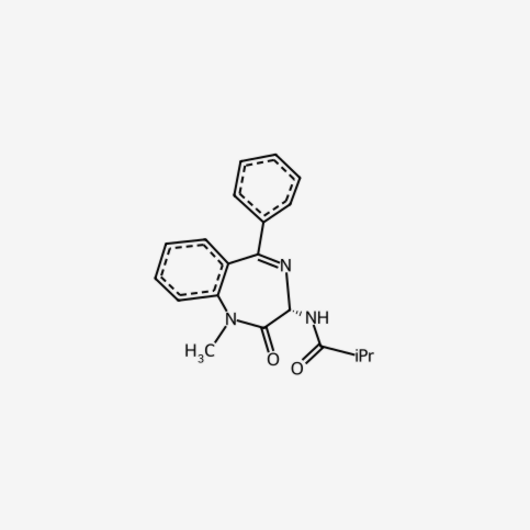 CC(C)C(=O)N[C@H]1N=C(c2ccccc2)c2ccccc2N(C)C1=O